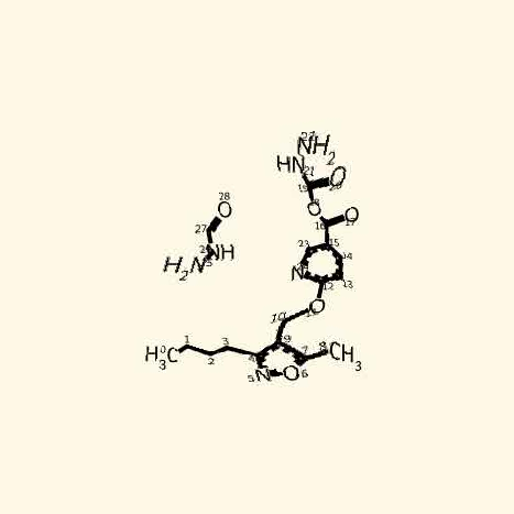 CCCCc1noc(C)c1COc1ccc(C(=O)OC(=O)NN)cn1.NNC=O